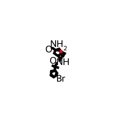 CC(C)(C(=O)NC1C2CC3CC1CC(C(N)=O)(C3)C2)c1cccc(Br)c1